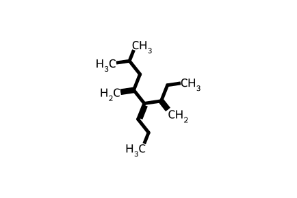 C=C(CC)/C(=C\CC)C(=C)CC(C)C